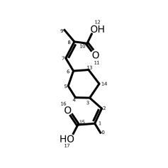 CC(=CC1CCC(C=C(C)C(=O)O)CC1)C(=O)O